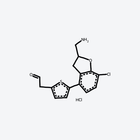 Cl.NCC1Cc2c(-c3ccc(CC=O)s3)ccc(Cl)c2O1